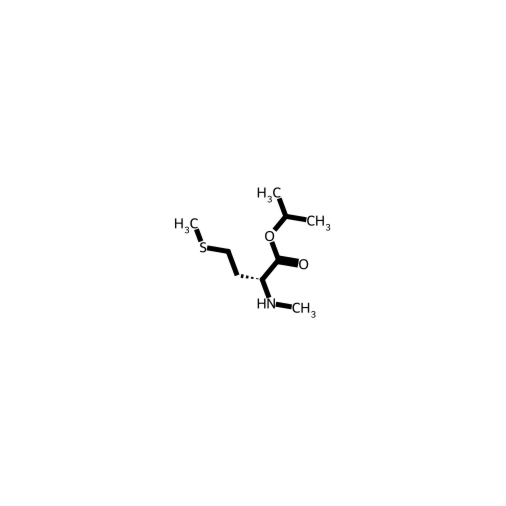 CN[C@H](CCSC)C(=O)OC(C)C